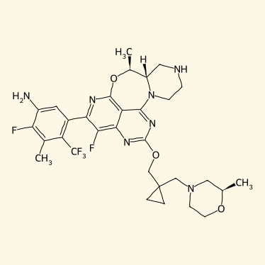 Cc1c(F)c(N)cc(-c2nc3c4c(nc(OCC5(CN6CCO[C@H](C)C6)CC5)nc4c2F)N2CCNC[C@H]2[C@H](C)O3)c1C(F)(F)F